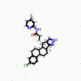 C[C@]12CCC3c4ccc(Cl)cc4CCC3C1[C@H](CCC(=O)Nc1cc(F)ccn1)c1c[nH]nc12